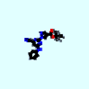 CC(C)(C)OC(=O)c1cnn(-c2nc(C#N)cc(Nc3ccccc3)n2)c1